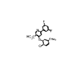 COc1ccc(Cl)c(Oc2cc(-c3cc(F)cc(F)c3)ncc2C(=O)O)c1